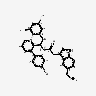 NCc1ccc2[nH]cc(CC(=O)NC(Cc3cc(F)cc(F)c3)c3ncccc3-c3ccc(Cl)cc3)c2c1